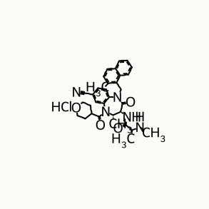 CNC(C)C(=O)N[C@@H]1C(=O)N(Cc2c(C)ccc3ccccc23)c2ccc(C#N)cc2N(C(=O)C2CCOCC2)[C@H]1C.Cl